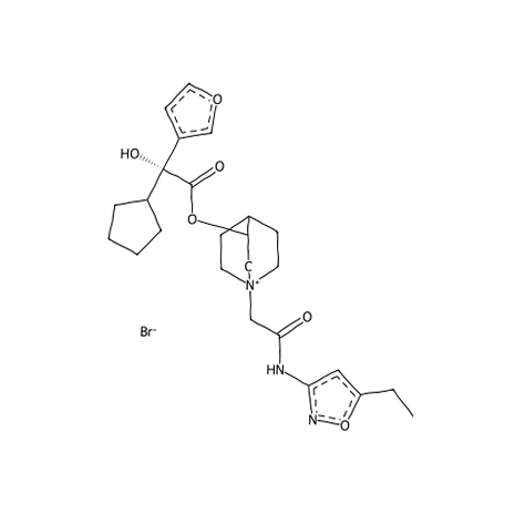 CCc1cc(NC(=O)C[N+]23CCC(CC2)C(OC(=O)[C@](O)(c2ccoc2)C2CCCC2)C3)no1.[Br-]